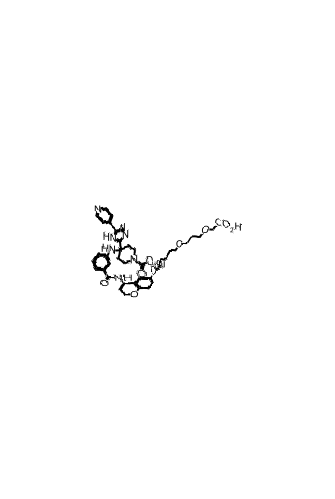 CC(C)(C)OC(=O)N1CCC(Nc2cccc(C(=O)N[C@@H]3CCOc4ccc(OCCCCCOCCCOCC(=O)O)cc43)c2)(c2nnc(-c3ccncc3)[nH]2)CC1